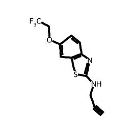 C#CCNc1nc2ccc(OCC(F)(F)F)cc2s1